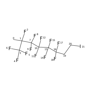 CC(F)(C(F)(F)F)C(F)(F)C(F)(F)C(F)(F)C(F)(F)CCI